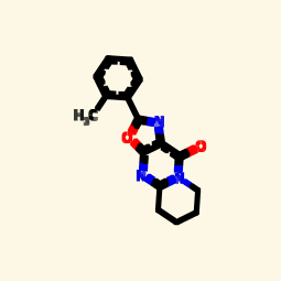 Cc1ccccc1-c1nc2c(=O)n3c(nc2o1)CCCC3